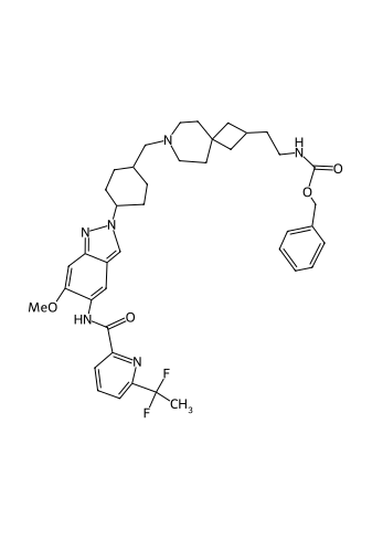 COc1cc2nn(C3CCC(CN4CCC5(CC4)CC(CCNC(=O)OCc4ccccc4)C5)CC3)cc2cc1NC(=O)c1cccc(C(C)(F)F)n1